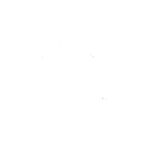 CCc1cc2c(c(CC)c1CC)C(C)c1c(cc(CC)c(OC)c1CC)C2C#N